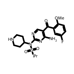 COc1ccc(F)cc1C(=O)c1cnc(N(C2CCNCC2)S(=O)(=O)C(C)C)nc1N